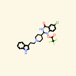 O=C1NC(C2CCN(CCc3c[nH]c4ccccc34)CC2)N(OC(=O)C(F)(F)F)c2ccc(Cl)cc21